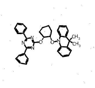 CC1(C)c2ccccc2N(O[C@@H]2CCCC[C@@H]2Oc2nc(-c3ccccc3)nc(-c3ccccc3)n2)c2ccccc21